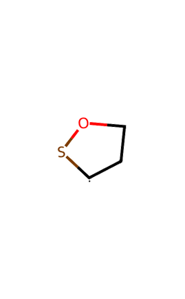 [CH]1CCOS1